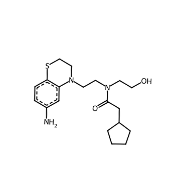 Nc1ccc2c(c1)N(CCN(CCO)C(=O)CC1CCCC1)CCS2